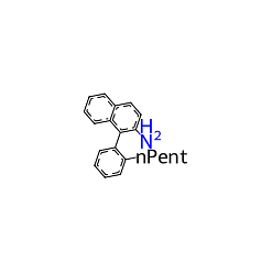 CCCCCc1ccccc1-c1c(N)ccc2ccccc12